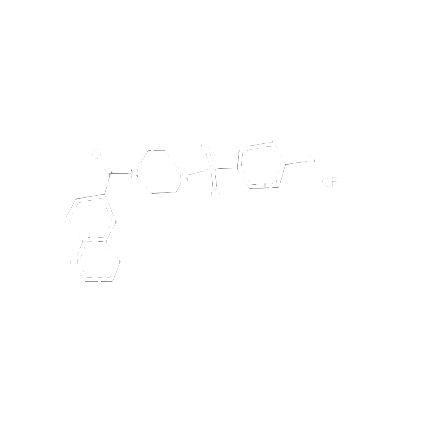 O=C(c1ccc2ncccc2c1)N1CCN(S(=O)(=O)c2ccc(OC(F)(F)F)cc2)CC1